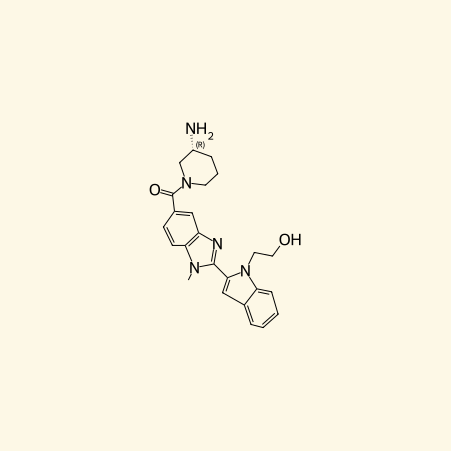 Cn1c(-c2cc3ccccc3n2CCO)nc2cc(C(=O)N3CCC[C@@H](N)C3)ccc21